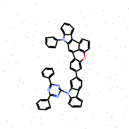 c1ccc(-c2nc(-c3ccccc3)nc(-n3c4ccccc4c4ccc(-c5ccc6c(c5)Oc5cccc7c5c-6cc5c7c6ccccc6n5-c5ccccc5)cc43)n2)cc1